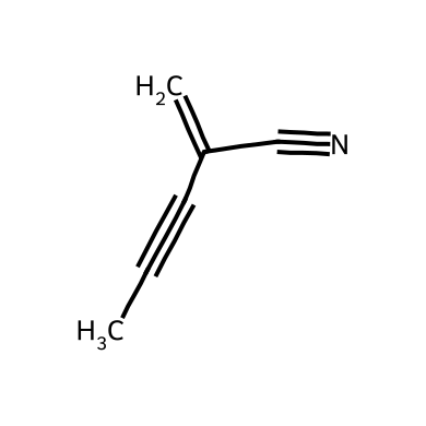 C=C(C#N)C#CC